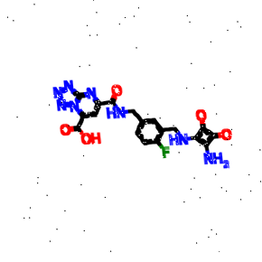 Nc1c(NCc2cc(CNC(=O)c3cc(C(=O)O)n4nnnc4n3)ccc2F)c(=O)c1=O